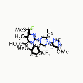 C=C1/C(=C(/F)SC)N=C(N2CCN(c3cc(OC)ncn3)[C@H](C)C2)N(c2cc(C(F)(F)F)ccc2OC)[C@H]1CC(=O)O